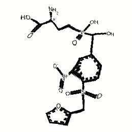 N[C@@H](CCP(=O)(O)C(O)c1ccc(S(=O)(=O)Cc2ccco2)c([N+](=O)[O-])c1)C(=O)O